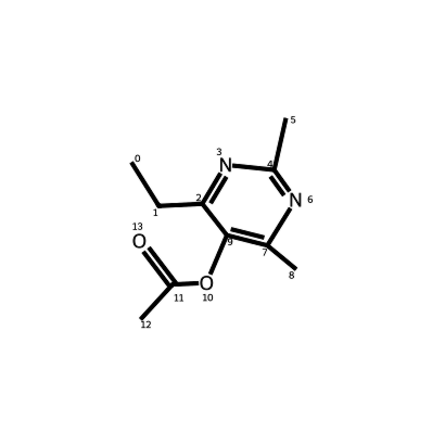 CCc1nc(C)nc(C)c1OC(C)=O